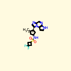 C[C@@H]1C[C@H](NS(=O)(=O)C2CC(F)(F)C2)C[C@@H]1c1cnc2cnc3[nH]ccc3n12